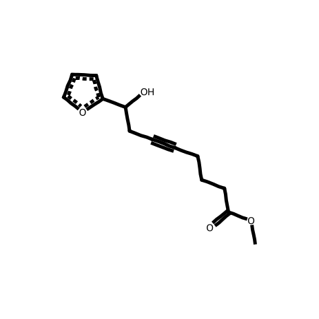 COC(=O)CCCC#CCC(O)c1ccco1